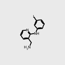 NCc1cccnc1Nc1cccc(I)c1